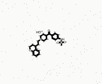 CS(=O)(=O)Nc1ccc(C(=O)C2CCN(CCC3CCOc4ccccc43)CC2)cc1.Cl